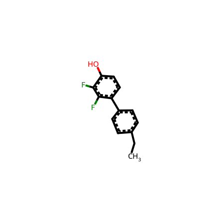 CCc1ccc(-c2ccc(O)c(F)c2F)cc1